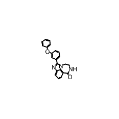 O=C1NCCn2c(-c3cccc(Oc4ccccc4)c3)nc3cccc1c32